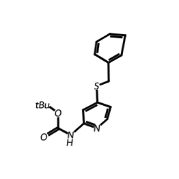 CC(C)(C)OC(=O)Nc1cc(SCc2ccccc2)ccn1